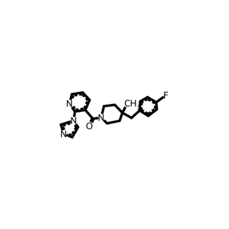 CC1(Cc2ccc(F)cc2)CCN(C(=O)c2cccnc2-n2ccnc2)CC1